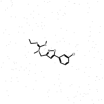 CC/N=C(/SC)N(C)Cc1cc(-c2cccc(Cl)c2)on1